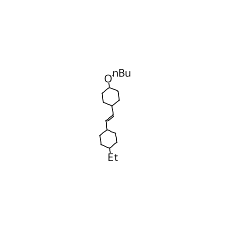 [CH2-][CH+]C1CCC(C=CC2CCC(OCCCC)CC2)CC1